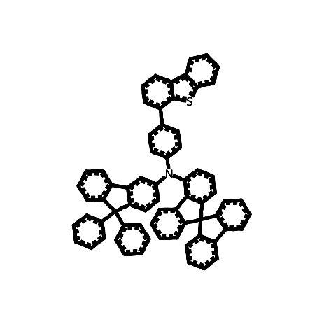 c1ccc(C2(c3ccccc3)c3ccccc3-c3cc(N(c4ccc(-c5cccc6c5sc5ccccc56)cc4)c4cccc5c4-c4ccccc4C54c5ccccc5-c5ccccc54)ccc32)cc1